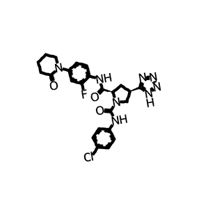 O=C(Nc1ccc(N2CCCCC2=O)cc1F)[C@H]1C[C@@H](c2nnn[nH]2)CN1C(=O)Nc1ccc(Cl)cc1